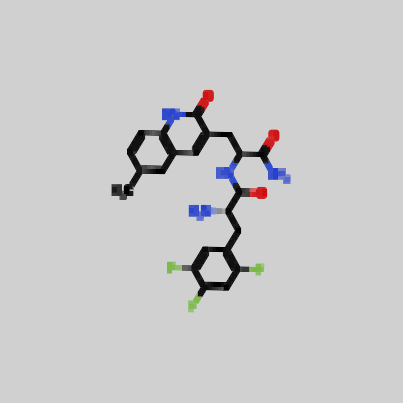 Cc1ccc2[nH]c(=O)c(CC(NC(=O)[C@@H](N)Cc3cc(F)c(F)cc3F)C(N)=O)cc2c1